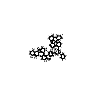 c1ccc(-c2nc(-c3cccc(C4(c5ccccc5)c5ccccc5-c5ccccc54)c3)nc(-c3ccc4c(c3)oc3cccc(-c5cccc6sc7c8ccccc8ccc7c56)c34)n2)cc1